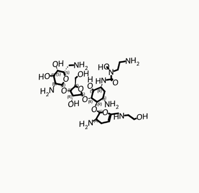 NCCN(O)C(=O)N[C@@H]1C[C@H](N)[C@@H](O[C@H]2OC(CNCCO)=CC[C@H]2N)[C@H](O[C@@H]2O[C@H](CO)[C@@H](O[C@H]3O[C@@H](CN)[C@@H](O)[C@H](O)[C@H]3N)[C@H]2O)[C@H]1O